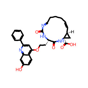 O=C1/N=C/CCC/C=C\[C@H]2C[C@@]2(C(=O)O)NC(=O)[C@H](CCOc2cc(-c3ccccc3)nc3cc(O)ccc23)N1